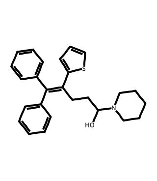 OC(CCC(=C(c1ccccc1)c1ccccc1)c1cccs1)N1CCCCC1